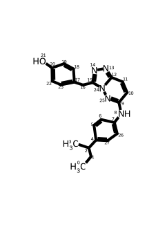 CCC(C)c1ccc(Nc2ccc3nnc(Cc4ccc(O)cc4)n3n2)cc1